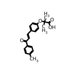 Cc1ccc(C(=O)/C=C/c2ccc(OC(C)(C)C(=O)O)cc2)cc1